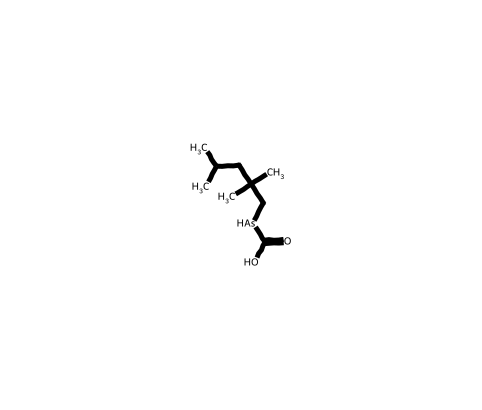 C[C](C)CC(C)(C)C[AsH]C(=O)O